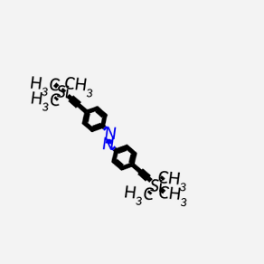 C[Si](C)(C)C#Cc1ccc(N=Nc2ccc(C#C[Si](C)(C)C)cc2)cc1